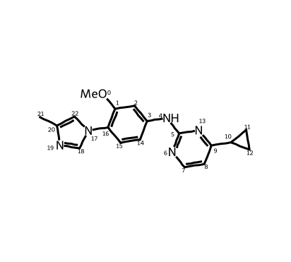 COc1cc(Nc2nccc(C3CC3)n2)ccc1-n1cnc(C)c1